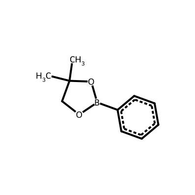 CC1(C)COB(c2ccccc2)O1